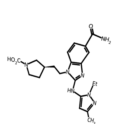 CCn1nc(C)cc1Nc1nc2cc(C(N)=O)ccc2n1CC[C@H]1CCN(C(=O)O)C1